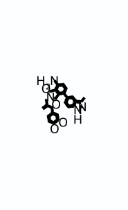 C=C(CN1Cc2c(-c3ccc4[nH]nc(C)c4c3)ccc(N)c2C1=O)C(=O)c1ccc(OC)c(OC)c1